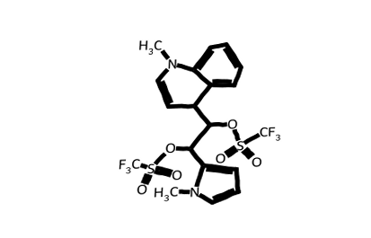 CN1C=CC(C(OS(=O)(=O)C(F)(F)F)C(OS(=O)(=O)C(F)(F)F)c2cccn2C)c2ccccc21